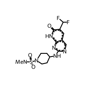 CNS(=O)(=O)N1CCC(Nc2ncc3cc(C(F)F)c(=O)[nH]c3n2)CC1